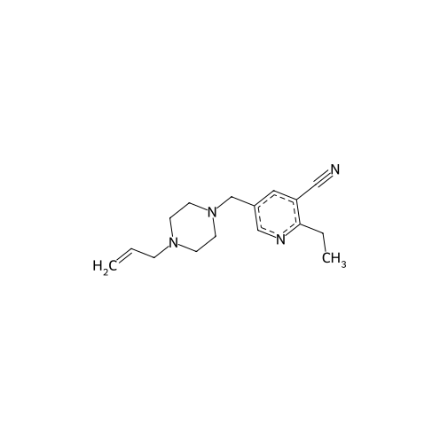 C=CCN1CCN(Cc2cnc(CC)c(C#N)c2)CC1